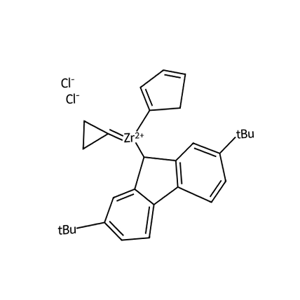 CC(C)(C)c1ccc2c(c1)[CH]([Zr+2]([C]1=CC=CC1)=[C]1CC1)c1cc(C(C)(C)C)ccc1-2.[Cl-].[Cl-]